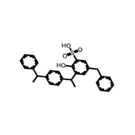 CC(c1ccccc1)c1ccc(C(C)c2cc(Cc3ccccc3)cc(S(=O)(=O)O)c2O)cc1